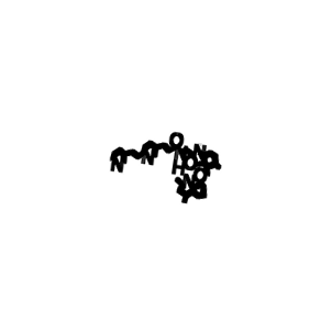 Cc1cc(C)c2cccc(OCc3c(C)ccc(N(C)C(=O)CNC(=O)/C=C/c4ccc(/C=C/c5cccnc5)nc4)c3C)c2n1